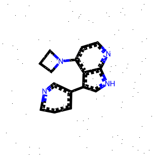 c1cncc(-c2c[nH]c3nccc(N4CCC4)c23)c1